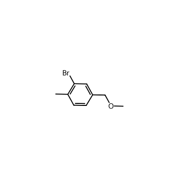 COCc1ccc(C)c(Br)c1